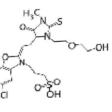 CN1C(=O)C(CC=C2Oc3ccc(Cl)cc3N2CCCS(=O)(=O)O)N(CCOCCO)C1=S